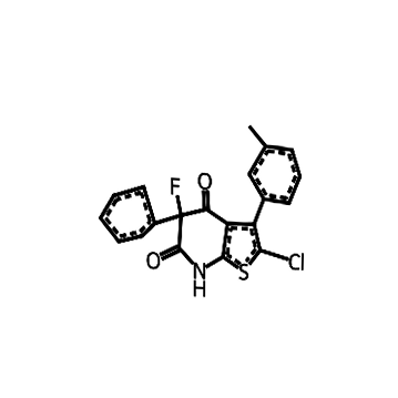 Cc1cccc(-c2c(Cl)sc3c2C(=O)C(F)(c2ccccc2)C(=O)N3)c1